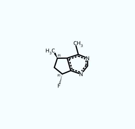 Cc1ncnc2c1[C@H](C)C[C@H]2F